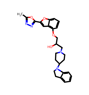 Cc1nnc(-c2cc3c(OCC(O)CN4CCC(N5CCc6ccccc65)CC4)cccc3o2)o1